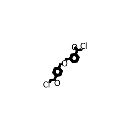 O=C(CCl)c1ccc(COCc2cccc(C(=O)CCl)c2)cc1